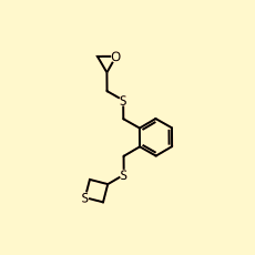 c1ccc(CSC2CSC2)c(CSCC2CO2)c1